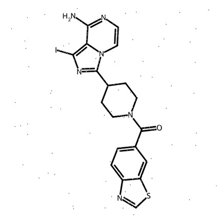 Nc1nccn2c(C3CCN(C(=O)c4ccc5ncsc5c4)CC3)nc(I)c12